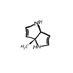 C[C@@]12C=CNC1C=CN2